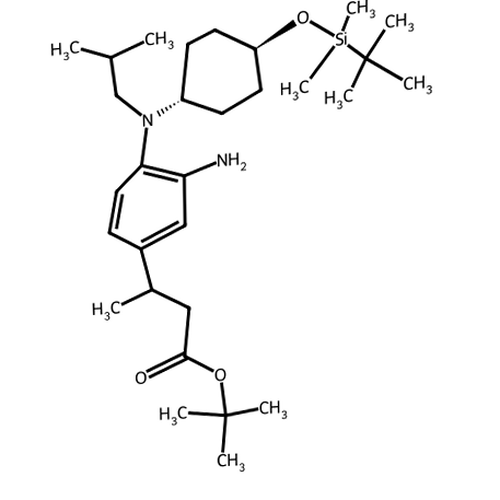 CC(C)CN(c1ccc(C(C)CC(=O)OC(C)(C)C)cc1N)[C@H]1CC[C@H](O[Si](C)(C)C(C)(C)C)CC1